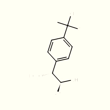 C[C@H]([C@H](C(=O)O)c1ccc(C(C)(F)F)cc1)C(F)(F)F